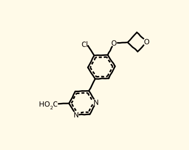 O=C(O)c1cc(-c2ccc(OC3COC3)c(Cl)c2)ncn1